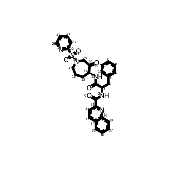 O=C(NC(Cc1ccccc1)C(=O)N[C@H]1CCCN(S(=O)(=O)c2ccccn2)CC1=O)c1ccc2ccccc2n1